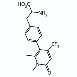 Cc1c(-c2ccc(CC(N)C(=O)O)cc2)c(C(F)(F)F)cc(=O)n1C